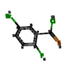 Fc1ccc(Br)cc1C(=S)Cl